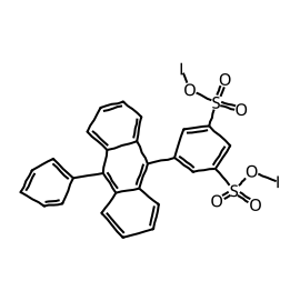 O=S(=O)(OI)c1cc(-c2c3ccccc3c(-c3ccccc3)c3ccccc23)cc(S(=O)(=O)OI)c1